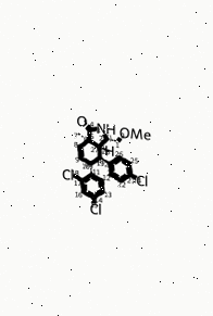 COC[C@H]1NC(=O)[C@]2(C)C=C[C@@H](c3ccc(Cl)cc3Cl)[C@H](c3ccc(Cl)cc3)[C@H]12